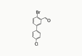 O=Cc1cc(-c2ccc(Cl)cc2)ccc1Br